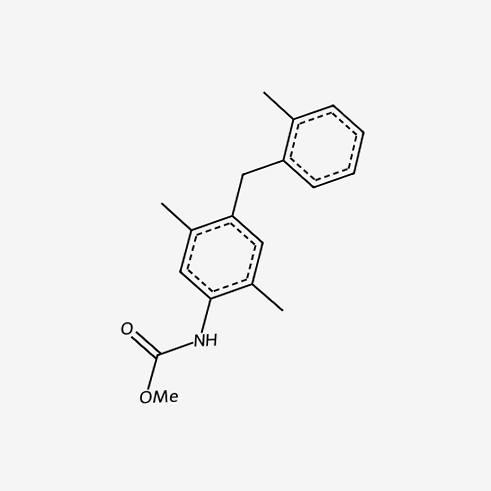 COC(=O)Nc1cc(C)c(Cc2ccccc2C)cc1C